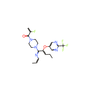 C=C(F)C(=O)N1CCN(C(=N/C=C\C)/C(=C/CC)Oc2cnc(C(F)(F)F)nc2)CC1